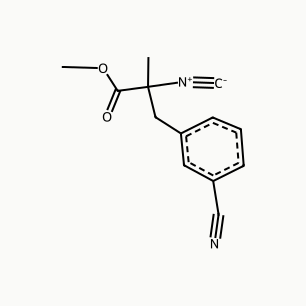 [C-]#[N+]C(C)(Cc1cccc(C#N)c1)C(=O)OC